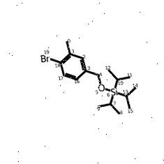 Cc1cc(CO[Si](C(C)C)(C(C)C)C(C)C)ccc1Br